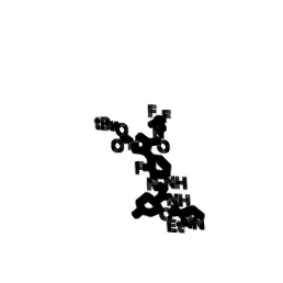 CCn1nccc1C(=O)NC(c1nc2c(F)c(C3=C(C(=O)N4CC(F)(F)C4)CN(C(=O)OC(C)(C)C)C3)ccc2[nH]1)C1CCC(C)CC1